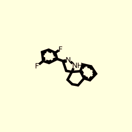 Fc1ccc(F)c(C2=NNC3(CCCc4ccccc43)C2)c1